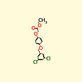 CCOC(=O)COc1ccc(OCc2cc(Cl)cc(Cl)c2)cc1